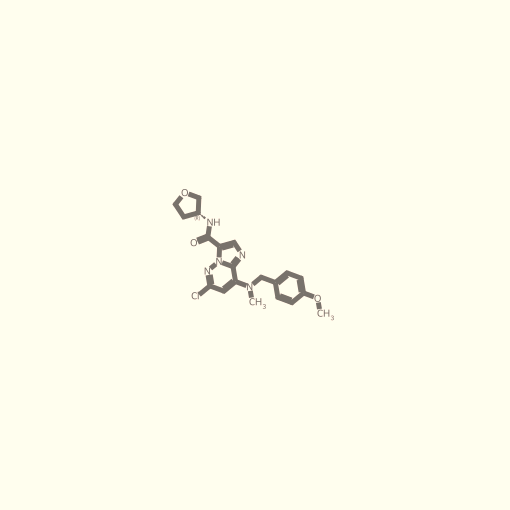 COc1ccc(CN(C)c2cc(Cl)nn3c(C(=O)N[C@@H]4CCOC4)cnc23)cc1